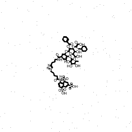 CC1CC(C(=O)NCCCc2cn(CCCCC(=O)Nc3ccc(S(=O)(=O)O)c4cc(S(=O)(=O)O)cc(S(=O)(=O)O)c34)nn2)CC(OC2OC(CO)C(O)C(O[C@@H](CC3CCCCC3)C(=O)O)C2OC(=O)c2ccccc2)C1OC1OC(C)C(O)C(O)C1O